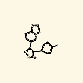 Fc1ccc(-c2[nH]nnc2-c2ccc3ncnn3c2)cc1